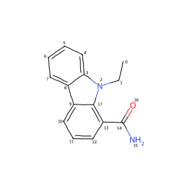 CCn1c2ccccc2c2cccc(C(N)=O)c21